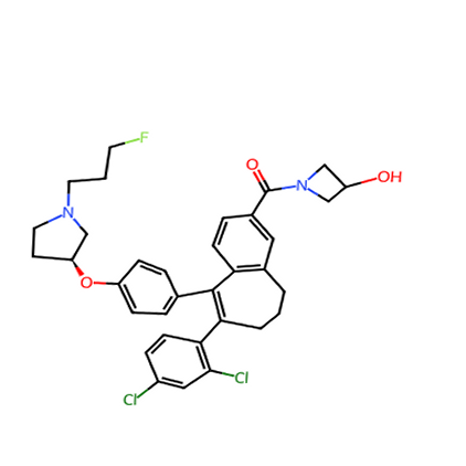 O=C(c1ccc2c(c1)CCCC(c1ccc(Cl)cc1Cl)=C2c1ccc(O[C@H]2CCN(CCCF)C2)cc1)N1CC(O)C1